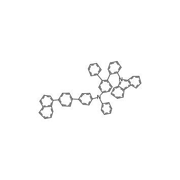 c1ccc(-c2cc(N(c3ccccc3)c3ccc(-c4ccc(-c5cccc6ccccc56)cc4)cc3)ccc2-c2ccccc2-n2c3ccccc3c3ccccc32)cc1